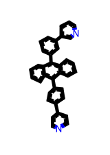 c1cncc(-c2cccc(-c3c4ccccc4c(-c4ccc(-c5ccncc5)cc4)c4ccccc34)c2)c1